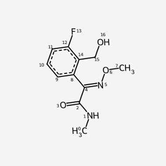 CNC(=O)/C(=N/OC)c1cccc(F)c1CO